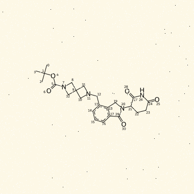 CC(C)(C)OC(=O)N1CC2(CN(Cc3cccc4c3CN(C3CCC(=O)NC3=O)C4=O)C2)C1